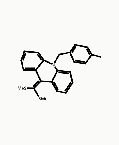 CSC(SC)=C1c2ccccc2N(Cc2ccc(C)cc2)c2ccccc21